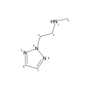 CNCCn1nccn1